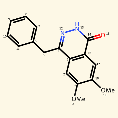 COc1cc2c(Cc3ccccc3)n[nH]c(=O)c2cc1OC